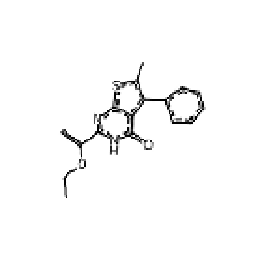 C=C(OCC)c1nc2sc(C)c(-c3ccccc3)c2c(=O)[nH]1